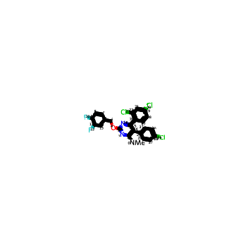 CNc1nc(OCc2ccc(F)c(F)c2)nc(-c2ccc(Cl)cc2Cl)c1-c1ccc(Cl)cc1